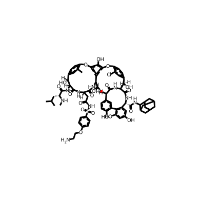 CN[C@H](CC(C)C)C(=O)N[C@H]1C(=O)N[C@@H](CC(=O)NS(=O)(=O)c2ccc(OCCN)cc2)C(=O)N[C@H]2C(=O)N[C@H]3C(=O)N[C@H](C(=O)N[C@H](C(=O)NC4C5CC6CC(C5)CC4C6)c4cc(O)cc(O)c4-c4cc3ccc4O)[C@H](O)c3ccc(c(Cl)c3)Oc3cc2cc(c3O)Oc2ccc(cc2C)[C@H]1O